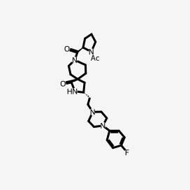 CC(=O)N1CCC[C@@H]1C(=O)N1CCC2(CC1)C[C@H](CCN1CCN(c3ccc(F)cc3)CC1)NC2=O